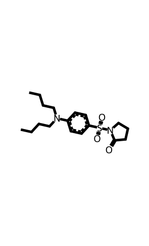 CCCCN(CCCC)c1ccc(S(=O)(=O)N2CCCC2=O)cc1